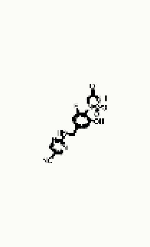 N#Cc1cnc(NCc2cc(O)c(N3CC(=O)NS3(=O)=O)c(F)c2)nc1